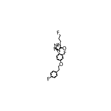 O=c1n(CCCF)nnn1-c1ccc(OCCc2ccc(F)cc2)cc1F